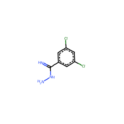 N=C(NN)c1cc(Cl)cc(Cl)c1